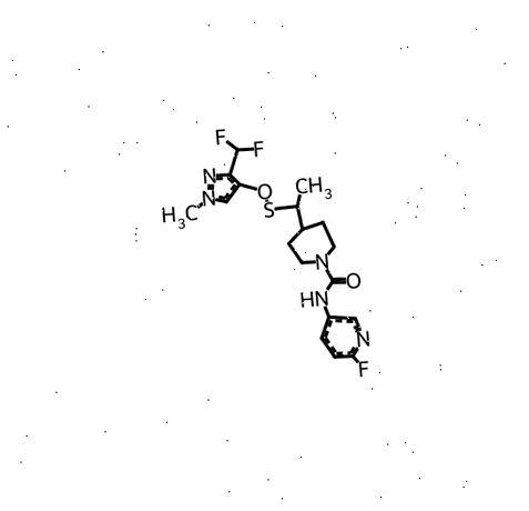 CC(SOc1cn(C)nc1C(F)F)C1CCN(C(=O)Nc2ccc(F)nc2)CC1